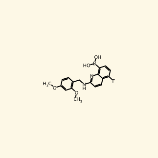 COc1ccc(CNc2ccc3c(F)ccc(B(O)O)c3n2)c(OC)c1